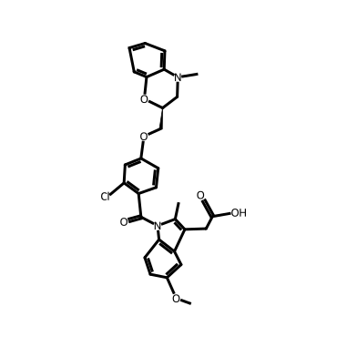 COc1ccc2c(c1)c(CC(=O)O)c(C)n2C(=O)c1ccc(OC[C@@H]2CN(C)c3ccccc3O2)cc1Cl